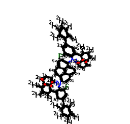 [2H]c1c([2H])c([2H])c(-c2cc(F)c(N(c3ccccc3)c3ccc4ccc5c(N(c6ccccc6)c6c(F)cc(-c7c([2H])c([2H])c([2H])c([2H])c7[2H])cc6-c6c([2H])c([2H])c([2H])c([2H])c6[2H])ccc6ccc3c4c65)c(-c3c([2H])c([2H])c([2H])c([2H])c3[2H])c2)c([2H])c1[2H]